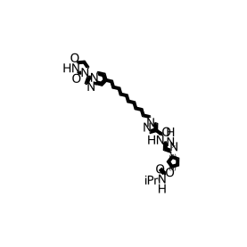 CC(C)NC(=O)O[C@H]1CC[C@@H](c2cc(NC(=O)c3cnn(CCCCCCCCCCCc4ccn5c(N6CCC(=O)NC6=O)cnc5c4)c3)[nH]n2)C1